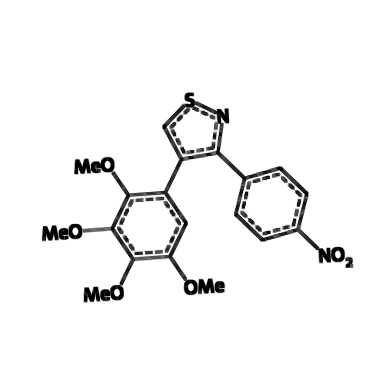 COc1cc(-c2csnc2-c2ccc([N+](=O)[O-])cc2)c(OC)c(OC)c1OC